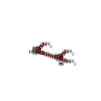 NCCOCCOCCNC(=O)NCCN(CCNC=O)C(=O)CCOCCOCCOCCOCCOCCOCCOCCOCCOCCC(=O)N(CCNC(=O)NCCOCCOCCN)CCNC(=O)NCCOCCOCCN